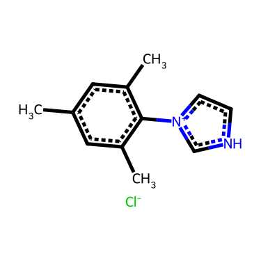 Cc1cc(C)c(-[n+]2cc[nH]c2)c(C)c1.[Cl-]